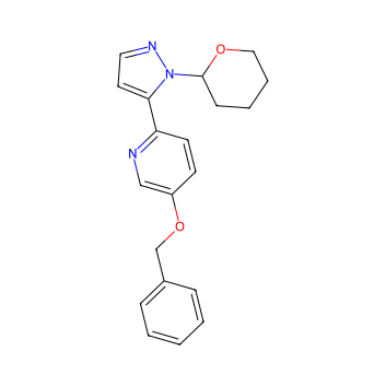 c1ccc(COc2ccc(-c3ccnn3C3CCCCO3)nc2)cc1